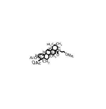 COCCNC(=O)[C@]12CCC(C)(C)C[C@@H]1C1=CC[C@@H]3[C@@]4(C)CC[C@H](OC(C)=O)[C@](C)(COC(C)=O)C4CC[C@@]3(C)[C@]1(C)CC2